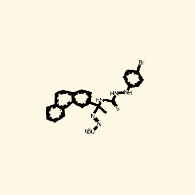 CC(C)(C)/N=N/C(C)(NC(=S)NNc1ccc(Br)cc1)c1ccc2ccc3ccccc3c2c1